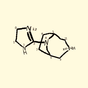 C1CNC(N2C3CCC2CNC3)=N1